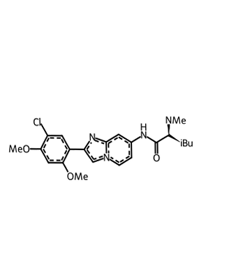 CC[C@H](C)[C@H](NC)C(=O)Nc1ccn2cc(-c3cc(Cl)c(OC)cc3OC)nc2c1